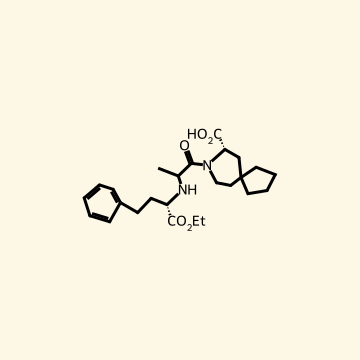 CCOC(=O)[C@H](CCc1ccccc1)NC(C)C(=O)N1CCC2(CCCC2)C[C@H]1C(=O)O